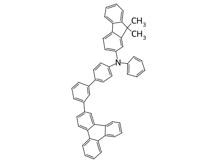 CC1(C)c2ccccc2-c2ccc(N(c3ccccc3)c3ccc(-c4cccc(-c5ccc6c7ccccc7c7ccccc7c6c5)c4)cc3)cc21